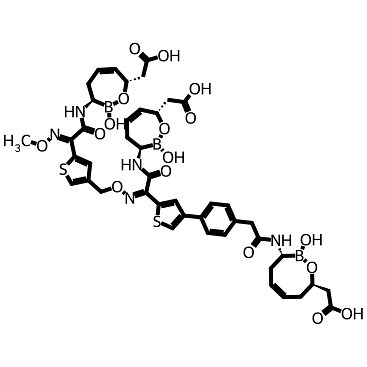 CO/N=C(/C(=O)N[C@H]1CC=C[C@H](CC(=O)O)OB1O)c1cc(CO/N=C(\C(=O)N[C@H]2CC=C[C@H](CC(=O)O)OB2O)c2cc(-c3ccc(CC(=O)N[C@H]4C/C=C\C[C@H](CC(=O)O)OB4O)cc3)cs2)cs1